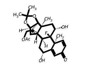 CC(=O)OCC(=O)[C@@]12OC(C)(C)O[C@@H]1C[C@H]1[C@@H]3C[C@@H](O)C4=CC(=O)C=C[C@]4(C)[C@@]3(F)[C@@H](O)C[C@@]12C